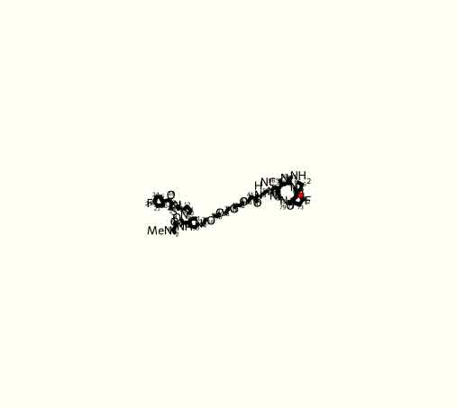 CN[C@H](C)C(=O)N[C@@H](C(=O)N1CCC[C@@H]1C1=NC(C(=O)c2ccc(F)cc2)CS1)C1CCN(CCOCCOCCOCCOCCC(=O)NCCn2nc3c(c2C#N)-c2cnc(N)c(c2)N2CCC[C@@H]2c2cc(F)ccc2C(=O)N(C)C3)CC1